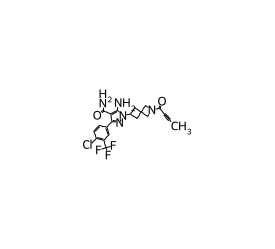 CC#CC(=O)N1CC2(CC(n3nc(-c4ccc(Cl)c(C(F)(F)F)c4)c(C(N)=O)c3N)C2)C1